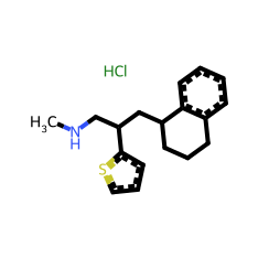 CNCC(CC1CCCc2ccccc21)c1cccs1.Cl